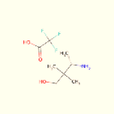 C[C@H](N)C(C)(C)CO.O=C(O)C(F)(F)F